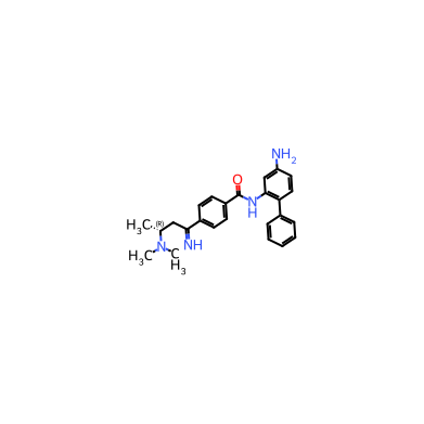 C[C@H](CC(=N)c1ccc(C(=O)Nc2cc(N)ccc2-c2ccccc2)cc1)N(C)C